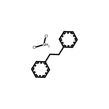 Cl[SiH2]Cl.c1ccc(CCc2ccccc2)cc1